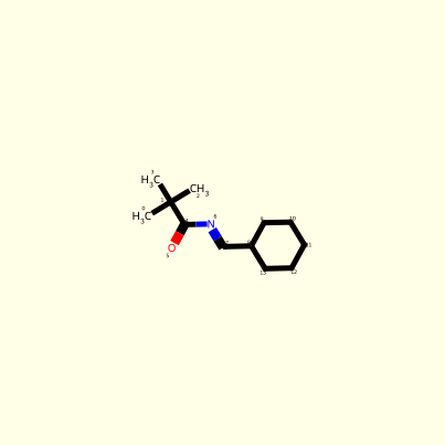 CC(C)(C)C(=O)/N=C/C1CCCCC1